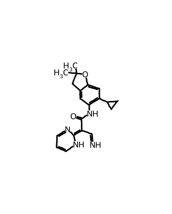 CC1(C)Cc2cc(NC(=O)/C(C=N)=C3\N=CC=CN3)c(C3CC3)cc2O1